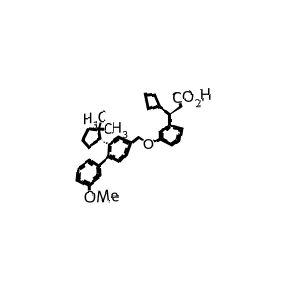 COc1cccc(-c2ccc(COc3cccc([C@H](CC(=O)O)C4CCC4)c3)cc2[C@@H]2CCCC2(C)C)c1